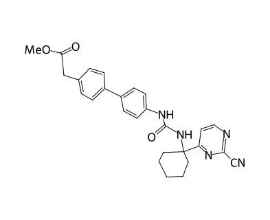 COC(=O)Cc1ccc(-c2ccc(NC(=O)NC3(c4ccnc(C#N)n4)CCCCC3)cc2)cc1